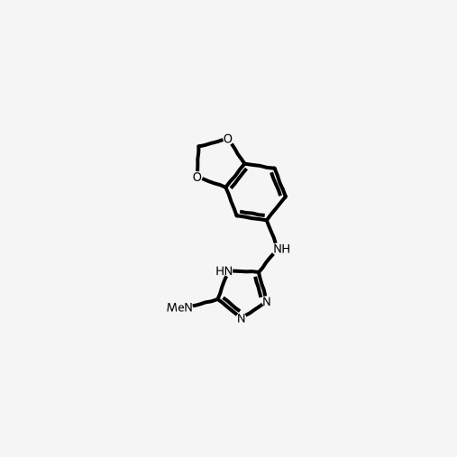 CNc1nnc(Nc2ccc3c(c2)OCO3)[nH]1